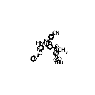 CC1CN(C(=O)OC(C)(C)C)CCN1C(=O)C1CCC(n2/c(=N\C(=O)c3ccc(C#N)cc3)[nH]c3cnc(OCCN4CCCCC4)cc32)CC1